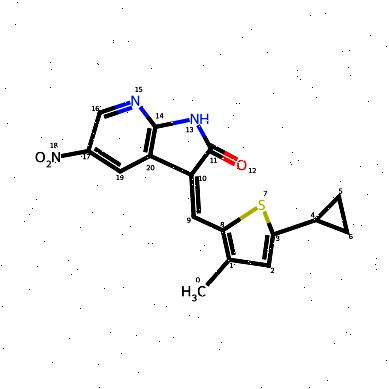 Cc1cc(C2CC2)sc1C=C1C(=O)Nc2ncc([N+](=O)[O-])cc21